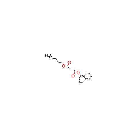 CCCC=COC(=O)CCC(=O)Oc1cccc2ccccc12